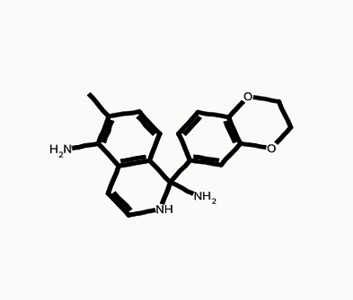 Cc1ccc2c(c1N)C=CNC2(N)c1ccc2c(c1)OCCO2